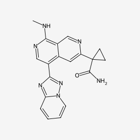 CNc1ncc(-c2nc3ccccn3n2)c2cc(C3(C(N)=O)CC3)ncc12